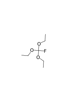 CCOC(F)(OCC)OCC